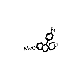 COc1ccc2c(c1)CCC1(CCOCC1)C2c1ccc(Br)cc1